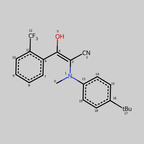 CN(C(C#N)=C(O)c1ccccc1C(F)(F)F)c1ccc(C(C)(C)C)cc1